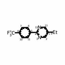 CCc1cnc(-c2ccc(C(F)(F)F)cc2)nc1